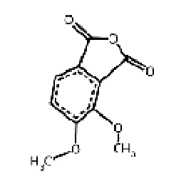 COc1ccc2c(c1OC)C(=O)OC2=O